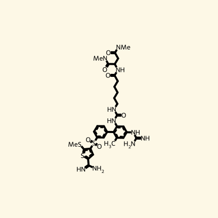 CNC(=O)CC(NC(=O)CCCCCNC(=O)Nc1cc(NC(=N)N)cc(C)c1-c1cccc(S(=O)(=O)c2cc(C(=N)N)sc2SC)c1)C(=O)NC